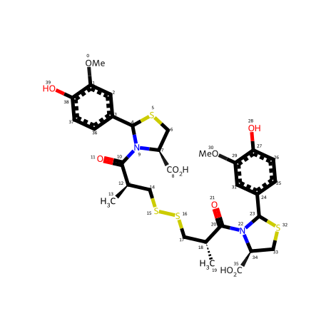 COc1cc(C2SC[C@@H](C(=O)O)N2C(=O)[C@H](C)CSSC[C@@H](C)C(=O)N2C(c3ccc(O)c(OC)c3)SC[C@H]2C(=O)O)ccc1O